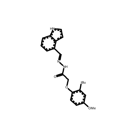 COc1ccc(OCC(=O)NN=Cc2cccc3[nH]ccc23)c(C(C)(C)C)c1